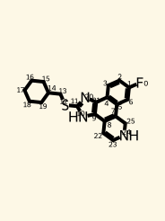 Fc1ccc2c(c1)c1c(c3[nH]c(SCC4CCCCC4)nc32)C=CNC1